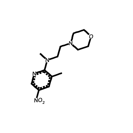 Cc1cc([N+](=O)[O-])cnc1N(C)CCN1CCOCC1